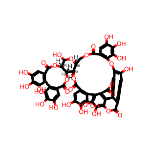 O=C1OC[C@H]2OC(O)[C@@H]3OC(=O)c4cc(O)c(O)c(O)c4-c4c(cc(O)c(O)c4O)C(=O)O[C@H]3[C@@H]2OC(=O)c2cc(O)c(O)c(O)c2-c2c(O)c(O)c3oc(=O)c4cc(O)c(c5oc(=O)c2c3c54)Oc2c1cc(O)c(O)c2O